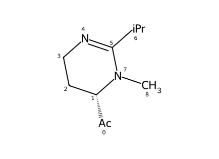 CC(=O)[C@@H]1CCN=C(C(C)C)N1C